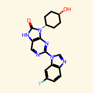 O=c1[nH]c2cnc(-n3cnc4ccc(F)cc43)nc2n1[C@H]1CC[C@H](O)CC1